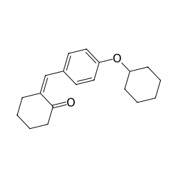 O=C1CCCCC1=Cc1ccc(OC2CCCCC2)cc1